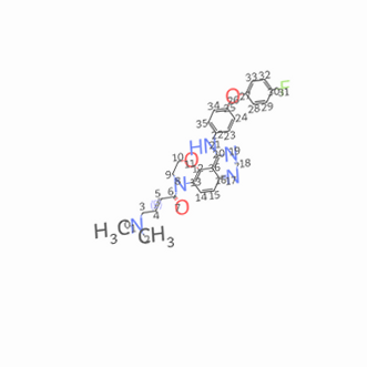 CN(C)C/C=C/C(=O)N1CCOc2c1ccc1ncnc(Nc3ccc(Oc4ccc(F)cc4)cc3)c21